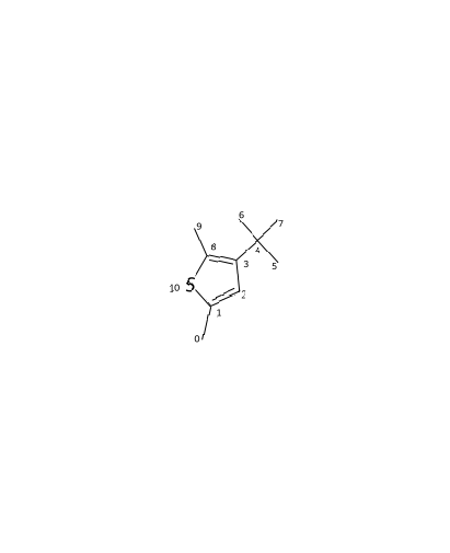 Cc1cc(C(C)(C)C)c(C)s1